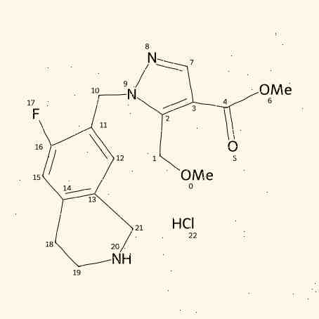 COCc1c(C(=O)OC)cnn1Cc1cc2c(cc1F)CCNC2.Cl